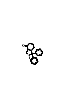 O=C1CCCC2C1CNC2(c1ccccc1)c1ccccc1